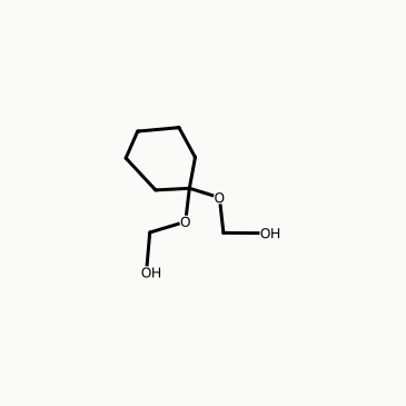 OCOC1(OCO)CCCCC1